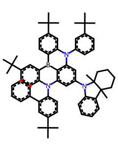 CC(C)(C)c1cccc(N2c3cc(C(C)(C)C)ccc3B3c4cc(C(C)(C)C)ccc4N(c4ccc(C(C)(C)C)cc4-c4ccccc4)c4cc(N5c6ccccc6C6(C)CCCCC56C)cc2c43)c1